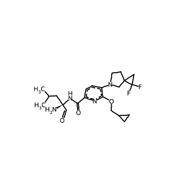 CC(C)C[C@@](N)(C=O)NC(=O)c1ccc(N2CCC3(C2)CC3(F)F)c(OCC2CC2)n1